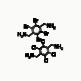 NCc1c(Br)c(Br)c(CN)c(Br)c1Br.NCc1c(Cl)c(Cl)c(CN)c(Cl)c1Cl